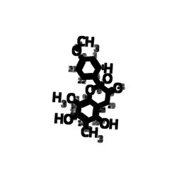 COc1ccc(C2(O)Oc3c(C)c(O)c(C)c(O)c3CC2=O)cc1